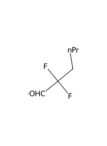 CCCCC(F)(F)[C]=O